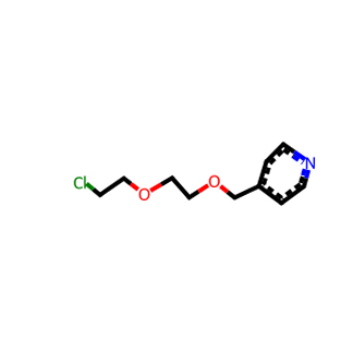 ClCCOCCOCc1ccncc1